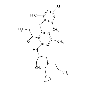 CCCN(CC1CC1)CC(CC)Nc1cc(C)nc(Oc2c(C)cc(Cl)cc2C)c1C(=O)OC